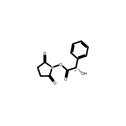 O=C(ON1C(=O)CCC1=O)[C@@H](O)c1ccccc1